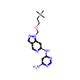 C[Si](C)(C)CCOCn1ncc2cnc(Nc3cc(N)ncn3)cc21